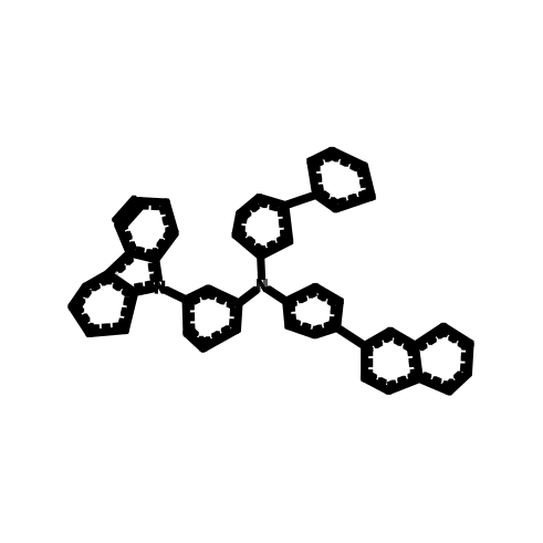 c1ccc2c(c#1)c1ccccc1n2-c1cccc(N(c2ccc(-c3ccc4ccccc4c3)cc2)c2cccc(-c3ccccc3)c2)c1